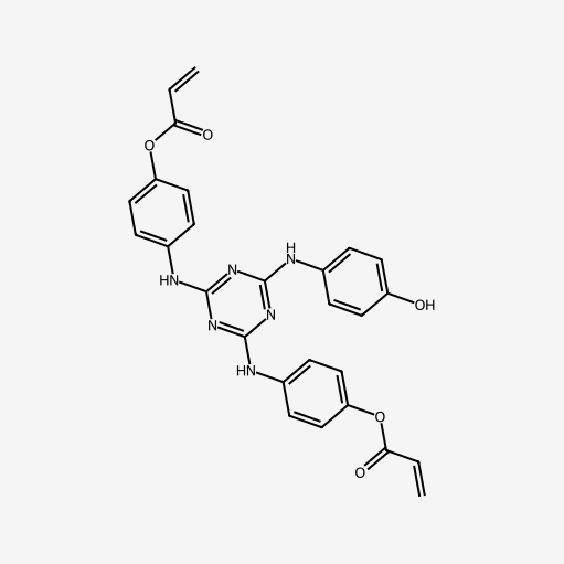 C=CC(=O)Oc1ccc(Nc2nc(Nc3ccc(O)cc3)nc(Nc3ccc(OC(=O)C=C)cc3)n2)cc1